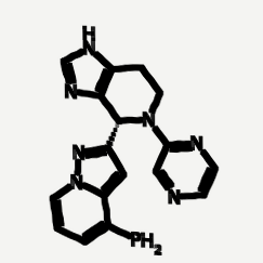 Pc1cccn2nc([C@@H]3c4nc[nH]c4CCN3c3cnccn3)cc12